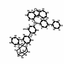 Cc1cc(N(c2ccc(-c3ccccc3)cc2)c2cccc3oc4ccccc4c23)ccc1-c1ccc2c(c1)-c1ccccc1C21C2CC3CC(C2)CC1C3